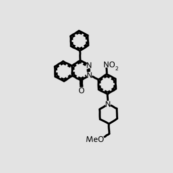 COCC1CCN(c2ccc([N+](=O)[O-])c(-n3nc(-c4ccccc4)c4ccccc4c3=O)c2)CC1